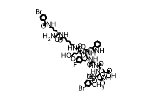 Cc1cc(Br)ccc1S(=O)(=O)N[C@H](CC(=O)O)C(=O)N[C@@H](CCC(=O)O)C(=O)NCC(=O)N[C@@H](Cc1cccc(F)c1)C(=O)N[C@@H](Cc1c[nH]c2ccccc12)C(=O)N[C@@H](CCC(=O)O)C(=O)NCCCCCC(=O)N[C@@H](CCCCNC(=O)c1ccc(Br)cc1)C(N)=O